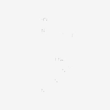 Cc1c[nH]c2nccc(Oc3ccc(C[C@H](N)C(=O)N4CCN(Cc5ccccn5)CC4)cc3F)c12